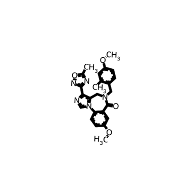 COc1ccc(CN2Cc3c(-c4noc(C)n4)ncn3-c3ccc(OC)cc3C2=O)c(C)c1